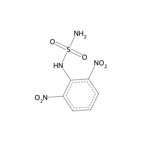 NS(=O)(=O)Nc1c([N+](=O)[O-])cccc1[N+](=O)[O-]